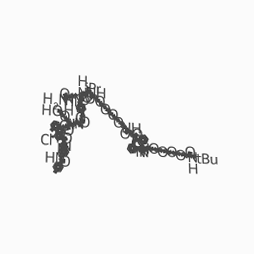 Cc1ccc(C(=O)Nc2ccc3nc(C(=O)N4C[C@@H](CCl)c5c4cc(OC(=O)N(CCOCCO)CCN(C)C(=O)OCc4ccc(NC(=O)[C@H](CCCNC(N)=O)NC(=O)[C@@H](NC(=O)CCOCCOCCOCCOCCNC(=O)CCC(=O)N6Cc7ccccc7-c7nnn(CCOCCOCCOCCOCCC(=O)NCC(C)(C)C)c7-c7ccccc76)C(C)C)cc4)c4cccc(C)c54)cn3c2)cc1